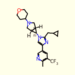 Cc1ncc(-c2cn([C@H]3[C@@H]4CN(C5CCOCC5)C[C@@H]43)c(CC3CC3)n2)cc1C(F)(F)F